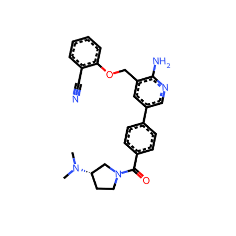 CN(C)[C@H]1CCN(C(=O)c2ccc(-c3cnc(N)c(COc4ccccc4C#N)c3)cc2)C1